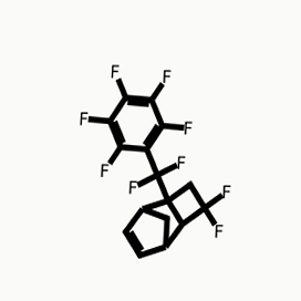 Fc1c(F)c(F)c(C(F)(F)C23CC(F)(F)C2C2C=CC3C2)c(F)c1F